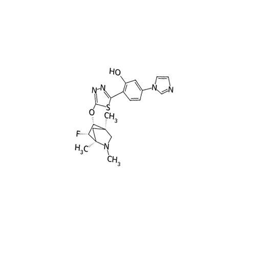 CN1C[C@@]2(C)C[C@]1(C)[C@H](F)[C@@H]2Oc1nnc(-c2ccc(-n3ccnc3)cc2O)s1